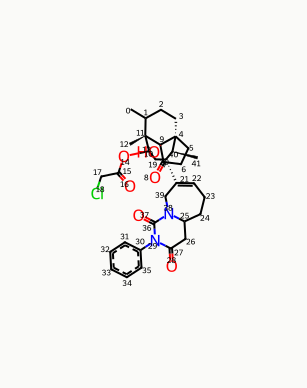 CC1CC[C@@]23CCC(=O)[C@@]2(O)[C@]1(C)C(OC(=O)CCl)C[C@@H](C1=CCCC2CC(=O)N(c4ccccc4)C(=O)N2C1)[C@@H]3C